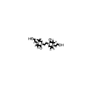 CC1(C)CN(CCN2CC(C)(C)N(CCO)C(C)(C)C2=O)C(=O)C(C)(C)N1CCO